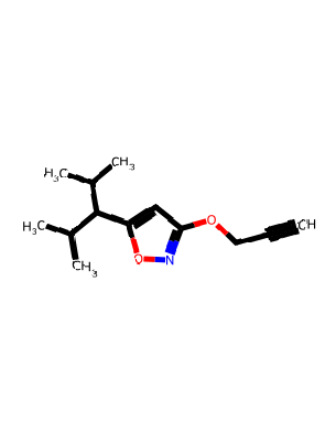 C#CCOc1cc(C(C(C)C)C(C)C)on1